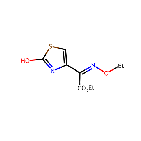 CCON=C(C(=O)OCC)c1csc(O)n1